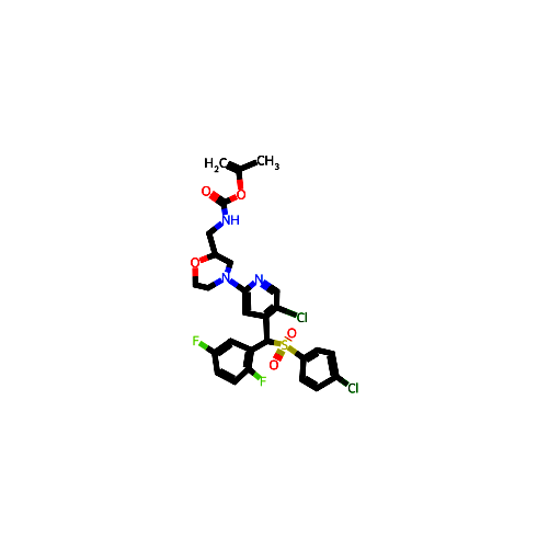 C=C(C)OC(=O)NCC1CN(c2cc(C(c3cc(F)ccc3F)S(=O)(=O)c3ccc(Cl)cc3)c(Cl)cn2)CCO1